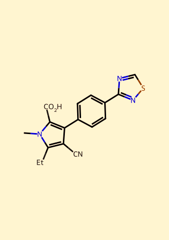 CCc1c(C#N)c(-c2ccc(-c3ncsn3)cc2)c(C(=O)O)n1C